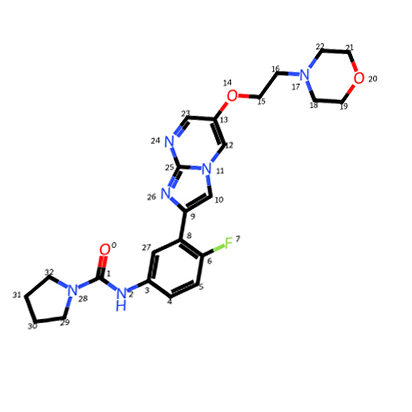 O=C(Nc1ccc(F)c(-c2cn3cc(OCCN4CCOCC4)cnc3n2)c1)N1CCCC1